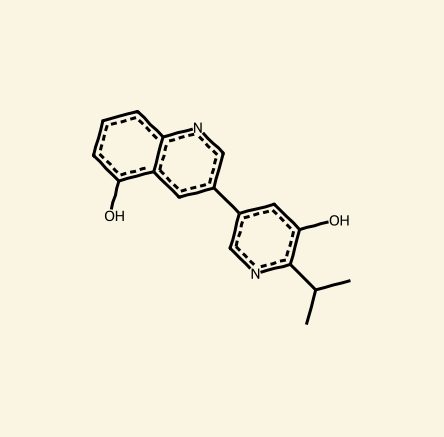 CC(C)c1ncc(-c2cnc3cccc(O)c3c2)cc1O